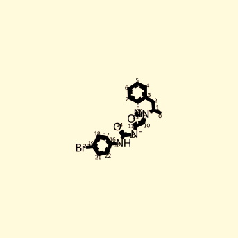 CC(Cc1ccccc1)[n+]1cc([N-]C(=O)Nc2ccc(Br)cc2)on1